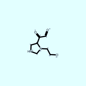 O=CC(=O)C1CNCN1CCCl